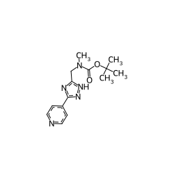 CN(Cc1nc(-c2ccncc2)n[nH]1)C(=O)OC(C)(C)C